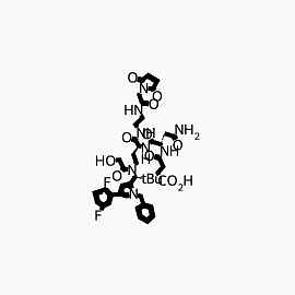 CC(C)(C)[C@H](c1cc(-c2cc(F)ccc2F)cn1Cc1ccccc1)N(CC[C@H](NC(=O)[C@H](CC(N)=O)NC(=O)CCC(=O)O)C(=O)NCCNC(=O)CN1C(=O)C=CC1=O)C(=O)CO